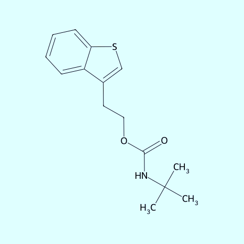 CC(C)(C)NC(=O)OCCc1csc2ccccc12